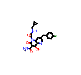 CNC(=O)c1c(O)c2ncc(Cc3ccc(F)cc3)cc2n(C2OC2NCC2CC2)c1=O